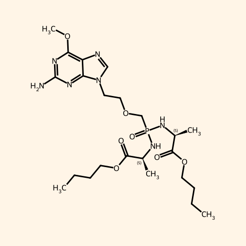 CCCCOC(=O)[C@H](C)NP(=O)(COCCn1cnc2c(OC)nc(N)nc21)N[C@@H](C)C(=O)OCCCC